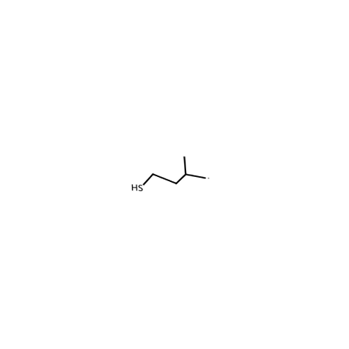 [CH2]C(C)CCS